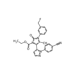 CCOC(=O)n1c(-c2ccnn2-c2ccc(C#N)cc2)c(C)n(-c2cccc(CF)c2)c1=O